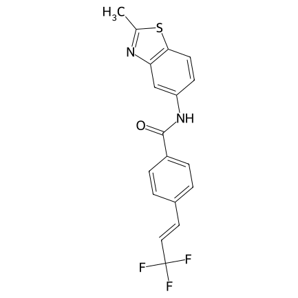 Cc1nc2cc(NC(=O)c3ccc(C=CC(F)(F)F)cc3)ccc2s1